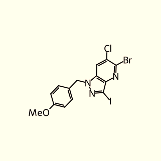 COc1ccc(Cn2nc(I)c3nc(Br)c(Cl)cc32)cc1